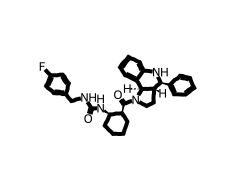 O=C(NCc1ccc(F)cc1)N[C@@H]1CCCC[C@@H]1C(=O)N1CC[C@@H]2[C@H](c3ccccc3)Nc3ccccc3[C@@H]21